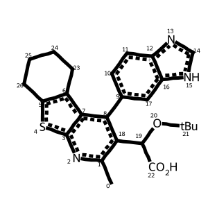 Cc1nc2sc3c(c2c(-c2ccc4nc[nH]c4c2)c1C(OC(C)(C)C)C(=O)O)CCCC3